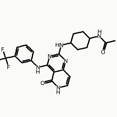 CC(=O)NC1CCC(Nc2nc(Nc3cccc(C(F)(F)F)c3)c3c(=O)[nH]ccc3n2)CC1